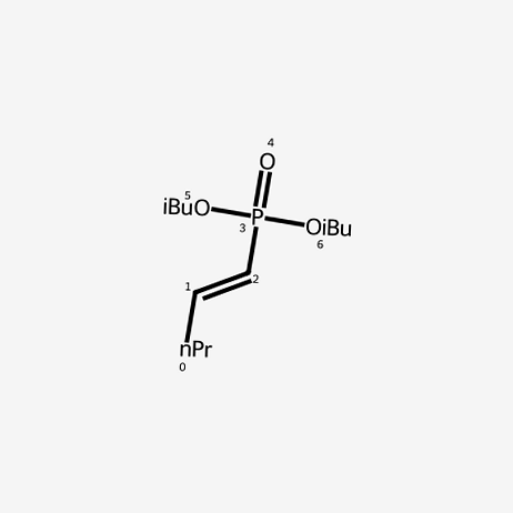 CCCC=CP(=O)(OCC(C)C)OCC(C)C